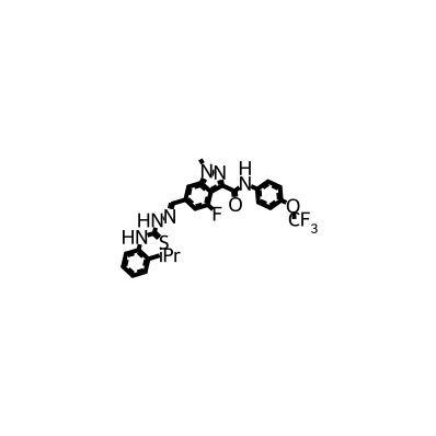 CC(C)c1ccccc1NC(=S)N/N=C/c1cc(F)c2c(C(=O)Nc3ccc(OC(F)(F)F)cc3)nn(C)c2c1